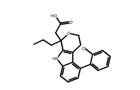 CCCC1(CC(=O)O)OCCc2c1[nH]c1cccc(-c3ccccc3Cl)c21